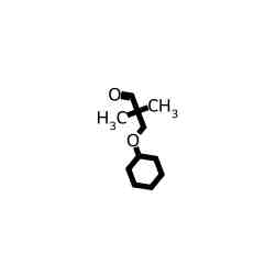 CC(C)(C=O)COC1CCCCC1